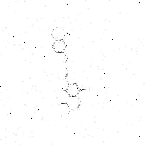 CCN(C)/C=N\c1cc(C)c(/C=N/OCc2ccc3c(c2)OCOC3)cc1C